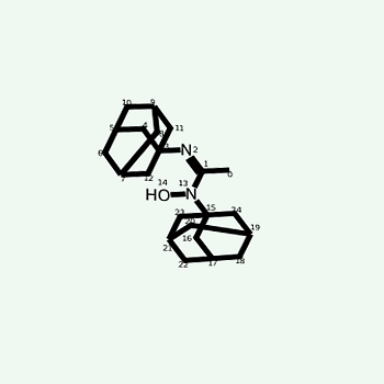 CC(=NC12CC3CC(CC(C3)C1)C2)N(O)C12CC3CC(CC(C3)C1)C2